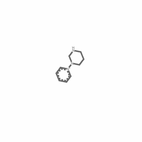 c1cc[n+](N2CCCNC2)cc1